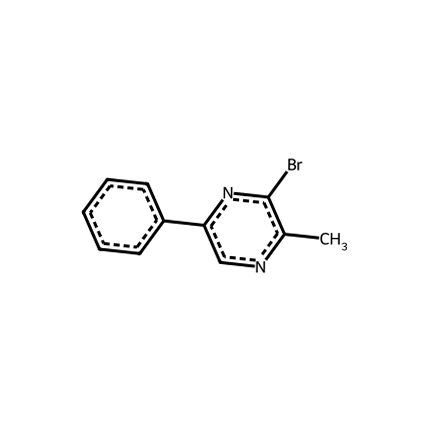 Cc1ncc(-c2ccccc2)nc1Br